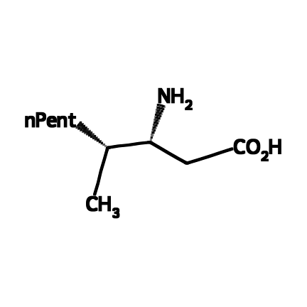 CCCCC[C@@H](C)[C@H](N)CC(=O)O